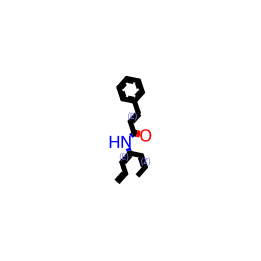 C=C/C=C(\C=C/C)NC(=O)/C=C/c1ccccc1